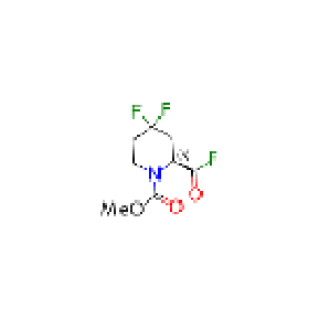 COC(=O)N1CCC(F)(F)C[C@H]1C(=O)F